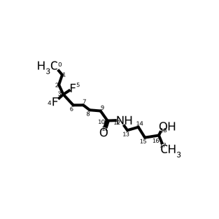 CCCC(F)(F)CCCCC(=O)NCCCC(C)O